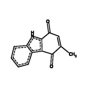 CC1=CC(=O)c2[nH]c3ccccc3c2C1=O